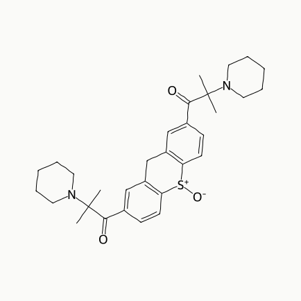 CC(C)(C(=O)c1ccc2c(c1)Cc1cc(C(=O)C(C)(C)N3CCCCC3)ccc1[S+]2[O-])N1CCCCC1